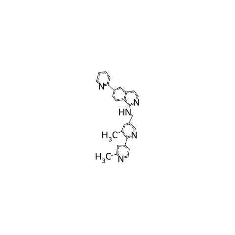 Cc1cc(-c2ncc(CNc3nccc4cc(-c5ccccn5)ccc34)cc2C)ccn1